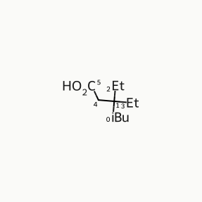 CCC(C)C(CC)(CC)CC(=O)O